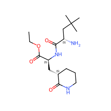 CCOC(=O)[C@H](C[C@@H]1CCCNC1=O)NC(=O)[C@@H](N)CC(C)(C)C